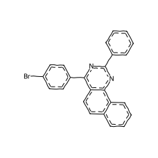 Brc1ccc(-c2nc(-c3ccccc3)nc3c2ccc2ccccc23)cc1